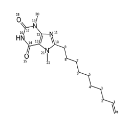 C=CCCCCCCCCc1nc2c(c(=O)[nH]c(=O)n2C)n1C